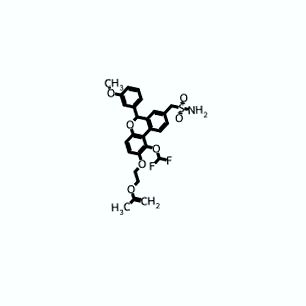 C=C(C)OCCOc1ccc2c(c1OC(F)F)-c1ccc(CS(N)(=O)=O)cc1C(c1cccc(OC)c1)O2